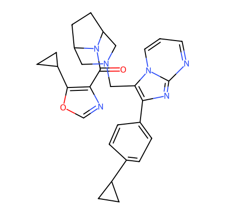 O=C(c1ncoc1C1CC1)N1C2CCC1CN(Cc1c(-c3ccc(C4CC4)cc3)nc3ncccn13)C2